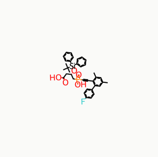 Cc1cc(C)c(C#CP(=O)(O)CC(CC(=O)O)O[Si](c2ccccc2)(c2ccccc2)C(C)(C)C)c(-c2ccc(F)cc2)c1